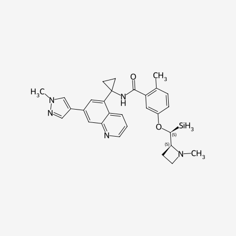 Cc1ccc(O[C@@H]([SiH3])[C@@H]2CCN2C)cc1C(=O)NC1(c2cc(-c3cnn(C)c3)cc3ncccc23)CC1